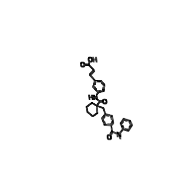 CN(C(=O)c1ccc(CC2(C(=O)Nc3cccc(/C=C/C(=O)O)c3)CCCCC2)cc1)c1ccccc1